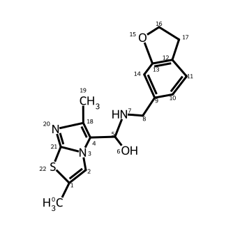 Cc1cn2c(C(O)NCc3ccc4c(c3)OCC4)c(C)nc2s1